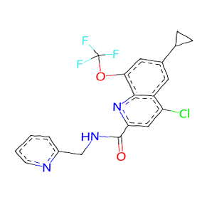 O=C(NCc1ccccn1)c1cc(Cl)c2cc(C3CC3)cc(OC(F)(F)F)c2n1